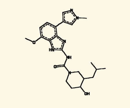 COc1ccc(-c2cnn(C)c2)c2nc(NC(=O)N3CCC(O)C(CC(C)C)C3)[nH]c12